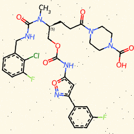 CN(C(=O)NCc1cccc(F)c1Cl)[C@@H](CCC(=O)N1CCN(C(=O)O)CC1)COC(=O)Nc1cc(-c2cccc(F)c2)no1